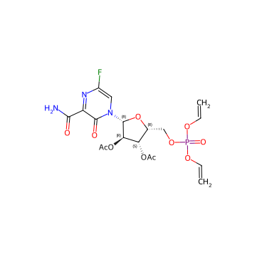 C=COP(=O)(OC=C)OC[C@H]1O[C@@H](n2cc(F)nc(C(N)=O)c2=O)[C@H](OC(C)=O)[C@H]1OC(C)=O